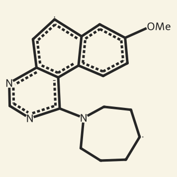 COc1ccc2c([c]cc3ncnc(N4CC[CH]CCC4)c32)c1